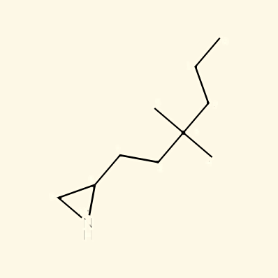 CCCC(C)(C)CCC1CN1